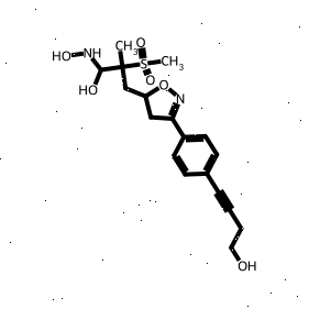 CC(CC1CC(c2ccc(C#CCCO)cc2)=NO1)(C(O)NO)S(C)(=O)=O